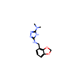 CN(C)c1nnc(NCc2cccc3c2OCO3)[nH]1